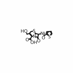 O=C(O)C1=C(CO)CSC2C(NC(=O)c3cccs3)C(=O)N12